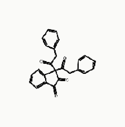 O=C1C(=O)C(C(=O)Cc2ccccc2)(C(=O)Cc2ccccc2)c2ccccc21